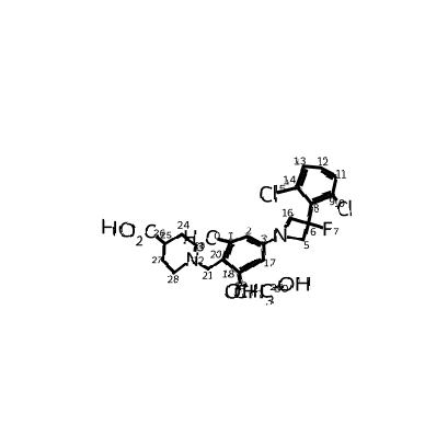 Cc1cc(N2CC(F)(c3c(Cl)cccc3Cl)C2)cc(C)c1CN1CCC(C(=O)O)CC1.O=CO